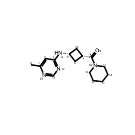 Cc1cc(N[C@H]2C[C@@H](C(=O)N3CCCCC3)C2)ncn1